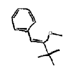 CO/C(=C\c1ccccc1)C(C)(C)C